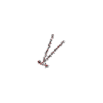 COCCOCCOCCOCCOCCOCCOCCOCCOCCOCCOCCOCCCC1(CCCOCCOCCOCCOCCOCCOCCOCCOCCOCCOCCOCCOC)c2cc(B3OC(C)(C)C(C)(C)O3)ccc2-c2ccc(-c3cc(F)c(Br)cc3F)cc21